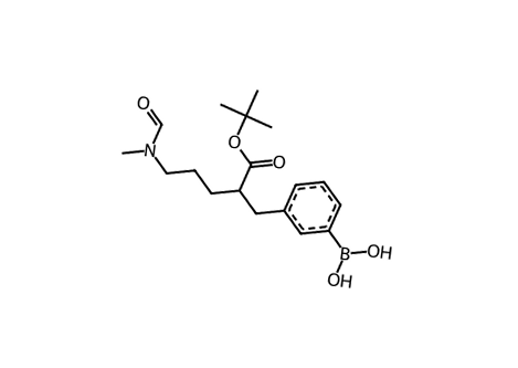 CN(C=O)CCCC(Cc1cccc(B(O)O)c1)C(=O)OC(C)(C)C